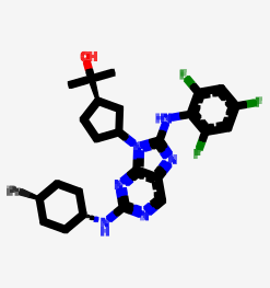 CC(C)[C@H]1CC[C@H](Nc2ncc3nc(Nc4c(F)cc(F)cc4F)n(C4CC[C@@H](C(C)(C)O)C4)c3n2)CC1